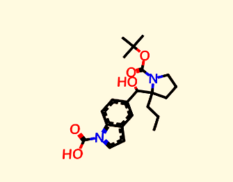 CCCC1(C(O)c2ccc3c(ccn3C(=O)O)c2)CCCN1C(=O)OC(C)(C)C